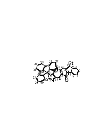 CCc1c2n(c3ccccc13)C(=O)C(=Cc1ncn(C(c3ccccc3)(c3ccccc3)c3ccccc3)c1C)CC2